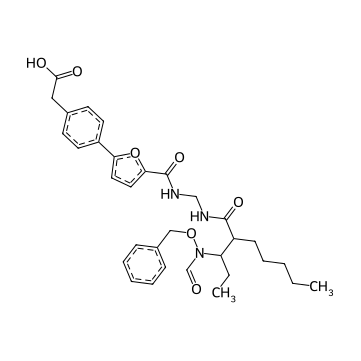 CCCCCC(C(=O)NCNC(=O)c1ccc(-c2ccc(CC(=O)O)cc2)o1)C(CC)N(C=O)OCc1ccccc1